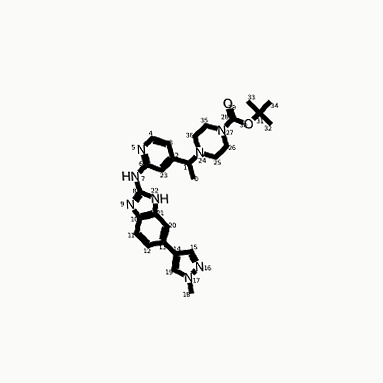 CC(c1ccnc(Nc2nc3ccc(-c4cnn(C)c4)cc3[nH]2)c1)N1CCN(C(=O)OC(C)(C)C)CC1